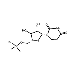 CC(C)(C)[Si](C)(C)OC[C@H]1S[C@@H](N2CCC(=O)NC2=O)[C@@H](O)C1O